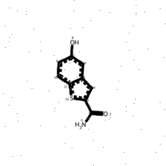 NC(=O)c1cc2cc(O)ccc2s1